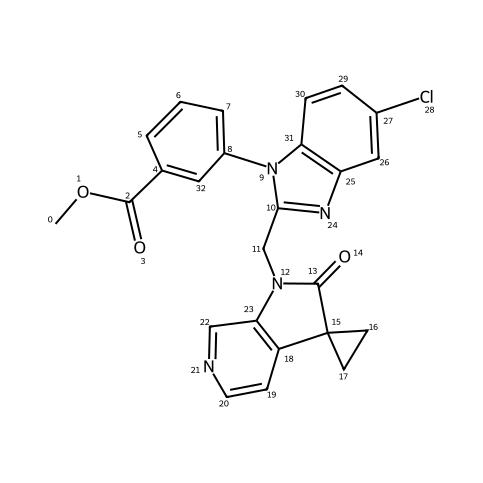 COC(=O)c1cccc(-n2c(CN3C(=O)C4(CC4)c4ccncc43)nc3cc(Cl)ccc32)c1